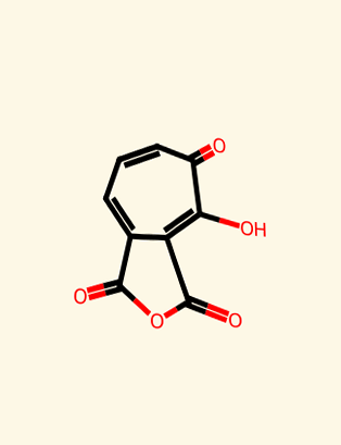 O=C1OC(=O)c2c1cccc(=O)c2O